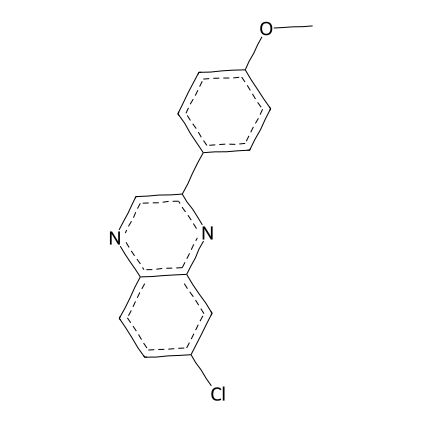 COc1ccc(-c2cnc3ccc(Cl)cc3n2)cc1